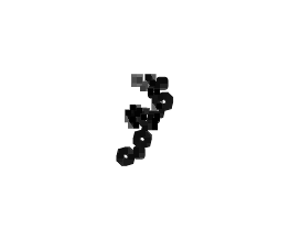 Cn1nnnc1C(=NOCc1cccc(OC(N)=O)n1)c1ccc(Oc2ccccc2)cc1